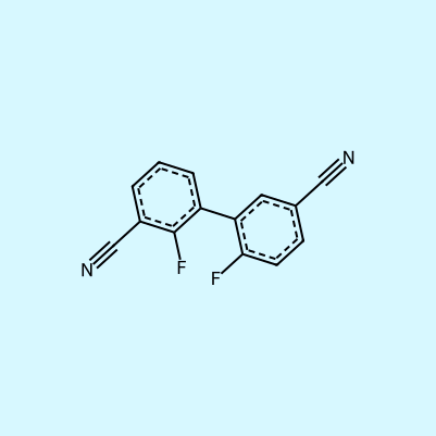 N#Cc1ccc(F)c(-c2cccc(C#N)c2F)c1